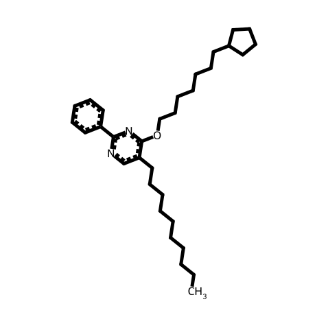 CCCCCCCCCCc1cnc(-c2ccccc2)nc1OCCCCCCCC1CCCC1